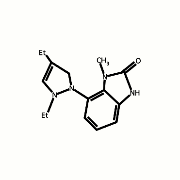 CCC1=CN(CC)N(c2cccc3[nH]c(=O)n(C)c23)C1